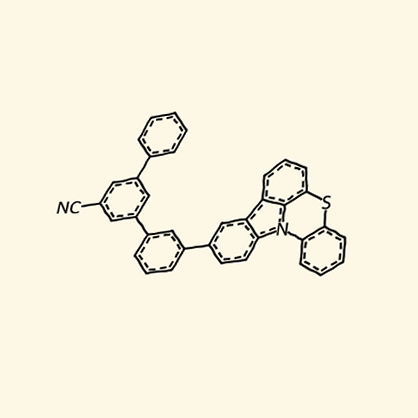 N#Cc1cc(-c2ccccc2)cc(-c2cccc(-c3ccc4c(c3)c3cccc5c3n4-c3ccccc3S5)c2)c1